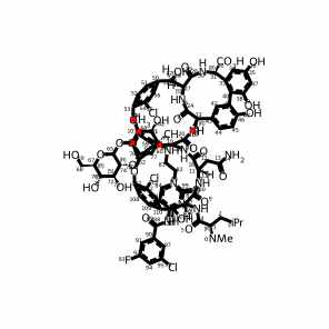 CN[C@H](CC(C)C)C(=O)N[C@H]1C(=O)N[C@@H](CC(N)=O)C(=O)NC2C(=O)N[C@H]3C(=O)N[C@H](C(=O)N[C@@H](C(=O)O)c4cc(O)cc(O)c4-c4cc3ccc4O)[C@H](O)c3ccc(c(Cl)c3)Oc3cc2cc(c3OC2O[C@H](CO)[C@@H](O)[C@H](O)[C@H]2O[C@H]2C[C@](C)(NCCn3ccc(NC(=O)c4cc(F)cc(Cl)c4)nc3=O)[C@H](O)[C@H](C)O2)Oc2ccc(cc2Cl)[C@H]1O